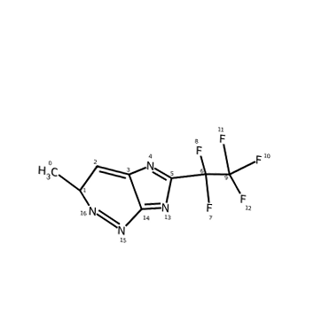 CC1C=C2N=C(C(F)(F)C(F)(F)F)N=C2N=N1